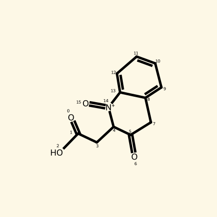 O=C(O)CC1C(=O)Cc2ccccc2[N+]1=O